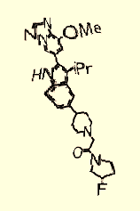 COc1cc(-c2[nH]c3ccc(C4CCN(CC(=O)N5CC[C@H](F)C5)CC4)cc3c2C(C)C)cn2ncnc12